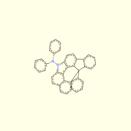 c1ccc(N(c2ccccc2)n2c3ccc4c5c3c3c6c(cccc6ccc32)C5(c2ccccc2)c2ccccc2-4)cc1